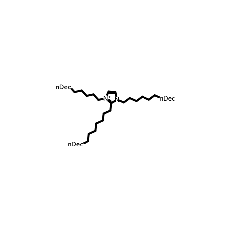 CCCCCCCCCCCCCCCCCc1n(CCCCCCCCCCCCCCCC)cc[n+]1CCCCCCCCCCCCCCC